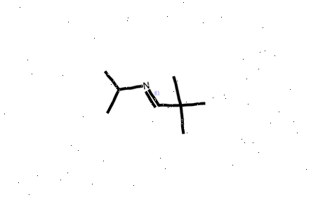 CC(C)/N=C/C(C)(C)C